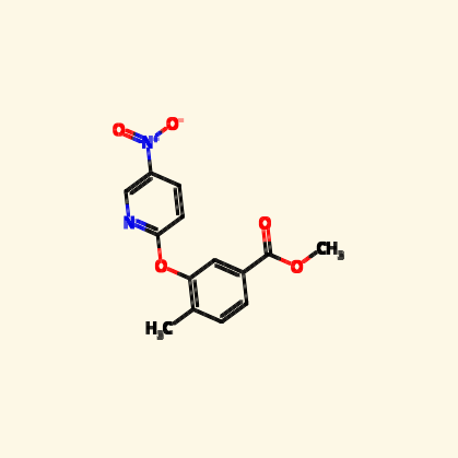 COC(=O)c1ccc(C)c(Oc2ccc([N+](=O)[O-])cn2)c1